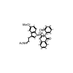 COc1ccc2[nH]cc(CCNC(C)=O)c2c1.Cc1nc2ccccc2c(=O)n1-c1ccccc1Cl